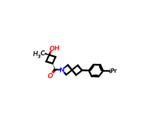 CC(C)c1ccc(C2CC3(C2)CN(C(=O)[C@H]2C[C@@](C)(O)C2)C3)cc1